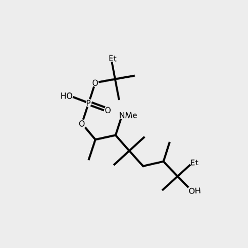 CCC(C)(C)OP(=O)(O)OC(C)C(NC)C(C)(C)CC(C)C(C)(O)CC